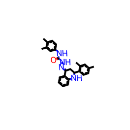 Cc1ccc(C2CC(=NNC(=O)Nc3ccc(C)c(C)c3)c3ccccc3N2)c(C)c1